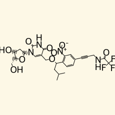 CC(C)CC(OCc1cn([C@H]2C[C@@H](O)[C@@H](CO)O2)c(=O)[nH]c1=O)c1ccc(C#CCNC(=O)C(F)(F)F)cc1[N+](=O)[O-]